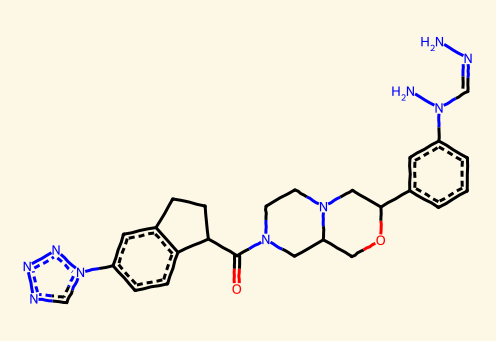 N/N=C\N(N)c1cccc(C2CN3CCN(C(=O)C4CCc5cc(-n6cnnn6)ccc54)CC3CO2)c1